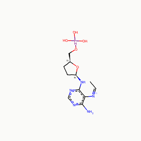 C/C=N\c1c(N)ncnc1N[C@H]1CC[C@@H](CO[PH](O)(O)O)O1